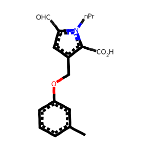 CCCn1c(C=O)cc(COc2cccc(C)c2)c1C(=O)O